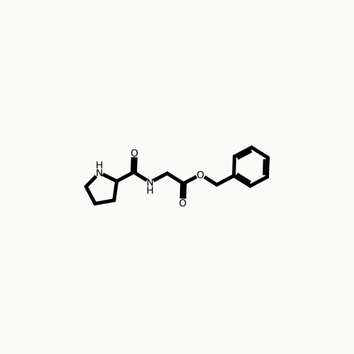 O=C(CNC(=O)C1CCCN1)OCc1ccccc1